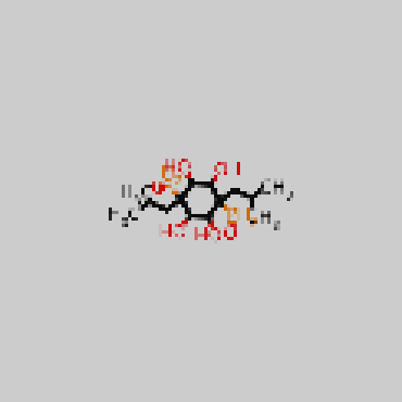 CC(C)CC1([PH2]=O)C(O)C(O)C(CC(C)C)([PH2]=O)C(O)C1O